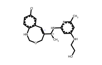 Cc1cc(NCCO)cc(N[C@@H](C)/C2=C/c3cc(Cl)ccc3NCOC2)n1